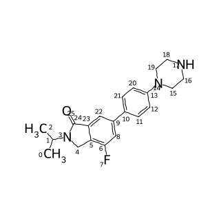 CC(C)N1Cc2c(F)cc(-c3ccc(N4CCNCC4)cc3)cc2C1=O